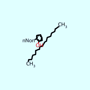 CCCCCCCCCCCCCCCCCC.CCCCCCCCCc1ccccc1O